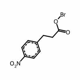 O=C(CCc1ccc([N+](=O)[O-])cc1)OBr